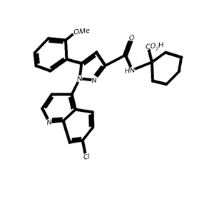 COc1ccccc1-c1cc(C(=O)NC2(C(=O)O)CCCCC2)nn1-c1ccnc2cc(Cl)ccc12